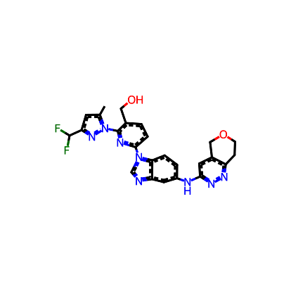 Cc1cc(C(F)F)nn1-c1nc(-n2cnc3cc(Nc4cc5c(nn4)CCOC5)ccc32)ccc1CO